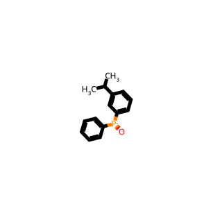 CC(C)c1cccc([P](=O)c2ccccc2)c1